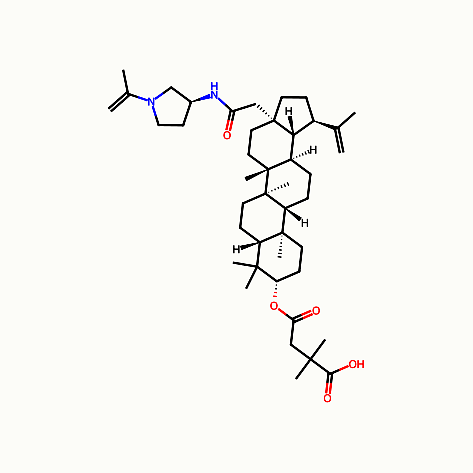 C=C(C)[C@@H]1CC[C@]2(CC(=O)N[C@H]3CCN(C(=C)C)C3)CC[C@]3(C)[C@H](CC[C@@H]4[C@@]5(C)CC[C@H](OC(=O)CC(C)(C)C(=O)O)C(C)(C)[C@@H]5CC[C@]43C)[C@@H]12